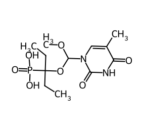 CCC(CC)(OC(OC)n1cc(C)c(=O)[nH]c1=O)P(=O)(O)O